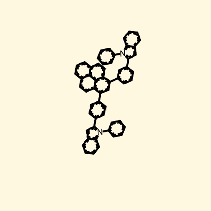 c1ccc(-n2c(-c3ccc(-c4cc(-c5cccc(-c6cc7ccccc7n6-c6ccccc6)c5)c5ccc6cccc7ccc4c5c76)cc3)cc3ccccc32)cc1